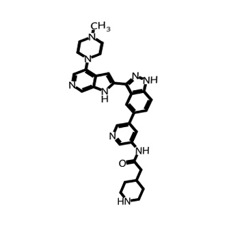 CN1CCN(c2cncc3[nH]c(-c4n[nH]c5ccc(-c6cncc(NC(=O)CC7CCNCC7)c6)cc45)cc23)CC1